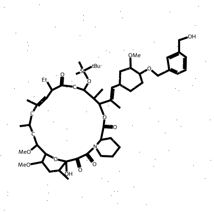 CCC1/C=C(\C)CC(C)CC(OC)C2OC(O)(C(=O)C(=O)N3CCCCC3C(=O)OC(C(C)=CC3CCC(OCc4cccc(CO)c4)C(OC)C3)C(C)C(O[Si](C)(C)C(C)(C)C)CC1=O)C(C)CC2OC